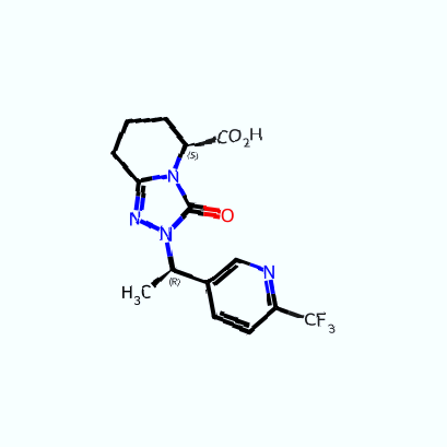 C[C@H](c1ccc(C(F)(F)F)nc1)n1nc2n(c1=O)[C@H](C(=O)O)CCC2